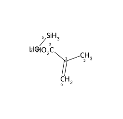 C=C(C)C(=O)O.O[SiH3]